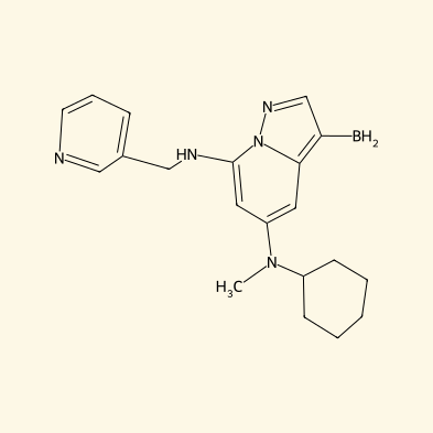 Bc1cnn2c(NCc3cccnc3)cc(N(C)C3CCCCC3)cc12